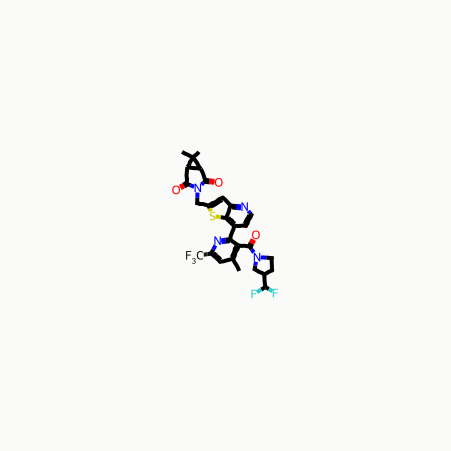 Cc1cc(C(F)(F)F)nc(-c2ccnc3cc(CN4C(=O)C5C(C4=O)C5(C)C)sc23)c1C(=O)N1CCC(C(F)F)C1